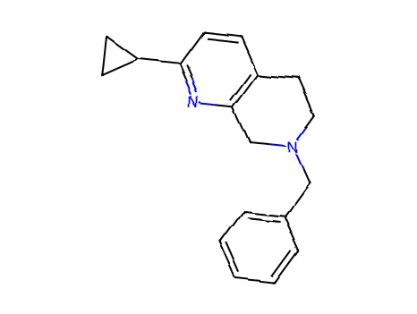 c1ccc(CN2CCc3ccc(C4CC4)nc3C2)cc1